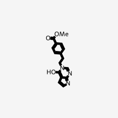 COC(=O)c1ccc(CCn2cnc3nccc-3c2O)cc1